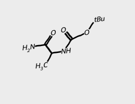 CC(NC(=O)OC(C)(C)C)C(N)=O